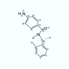 Cc1ccccc1[C@@H](C)N(C)C(=O)c1ccc(N)cc1